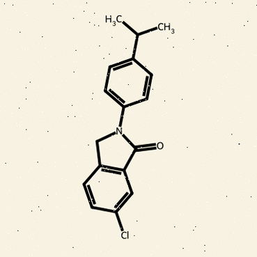 CC(C)c1ccc(N2Cc3ccc(Cl)cc3C2=O)cc1